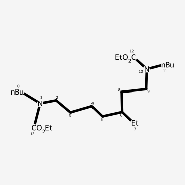 CCCCN(CCCCC(CC)CCN(CCCC)C(=O)OCC)C(=O)OCC